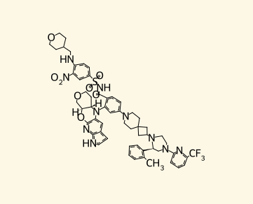 Cc1ccccc1[C@@H]1CN(c2cccc(C(F)(F)F)n2)CCN1C1CC2(CCN(c3ccc(C(=O)NS(=O)(=O)c4ccc(NCC5CCOCC5)c([N+](=O)[O-])c4)c(N4c5cc6cc[nH]c6nc5O[C@H]5COCC[C@@H]54)c3)CC2)C1